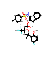 COc1ccc(F)cc1C(C)(C)C[C@@](O)(CC(=O)O[C@@H]1Cc2ccccc2[C@@H]1NS(=O)(=O)c1ccc(C)cc1)C(F)(F)F